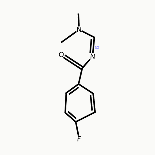 CN(C)/C=N\C(=O)c1ccc(F)cc1